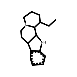 CCC1CCCN2CCC3c4ccccc4NC3C12